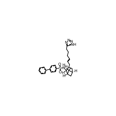 CC1(C)[C@H]2C[C@H](CC=CCCCc3nnn[nH]3)[C@@H](NS(=O)(=O)c3ccc(-c4ccccc4)cc3)[C@H]1C2